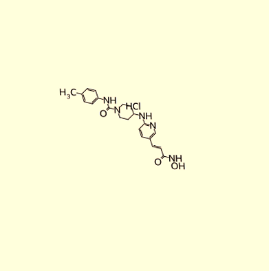 Cc1ccc(NC(=O)N2CCC(Nc3ccc(/C=C/C(=O)NO)cn3)CC2)cc1.Cl